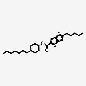 CCCCCCC[C@H]1CC[C@H](OC(=O)c2cc3sc(CCCCC)cc3s2)CC1